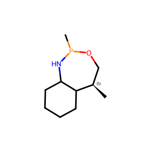 C[C@@H]1COP(C)NC2CCCCC21